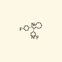 Fc1ccc(-c2nc3cccccc-3c2-c2ccnc(F)c2)cc1